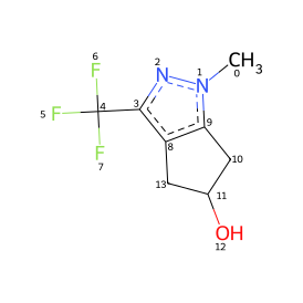 Cn1nc(C(F)(F)F)c2c1CC(O)C2